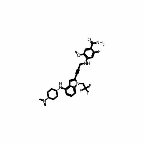 COc1cc(C(N)=O)c(F)cc1NCC#Cc1cc2c(N[C@H]3CC[C@H](N(C)C)CC3)cccc2n1CC(F)(F)F